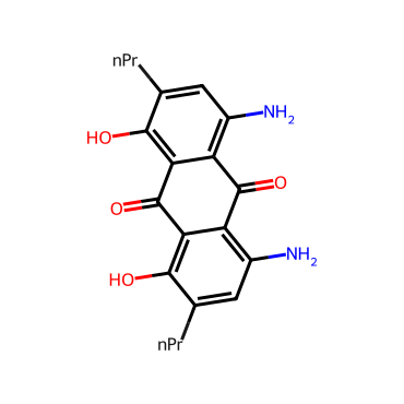 CCCc1cc(N)c2c(c1O)C(=O)c1c(O)c(CCC)cc(N)c1C2=O